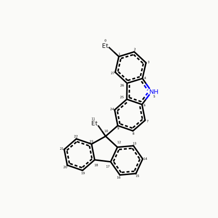 CCc1ccc2[nH]c3ccc(C4(CC)c5ccccc5-c5ccccc54)cc3c2c1